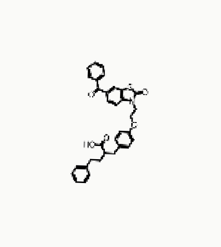 O=C(c1ccccc1)c1ccc2c(c1)sc(=O)n2CCOc1ccc(CC(CCc2ccccc2)C(=O)O)cc1